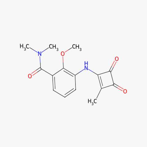 COc1c(Nc2c(C)c(=O)c2=O)cccc1C(=O)N(C)C